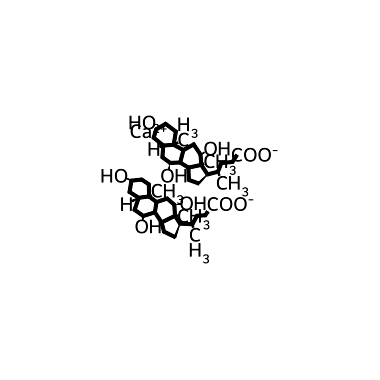 C[C@H](CCC(=O)[O-])[C@H]1CCC2C3C(C[C@H](O)[C@@]21C)[C@@]1(C)CC[C@@H](O)C[C@H]1C[C@H]3O.C[C@H](CCC(=O)[O-])[C@H]1CCC2C3C(C[C@H](O)[C@@]21C)[C@@]1(C)CC[C@@H](O)C[C@H]1C[C@H]3O.[Ca+2]